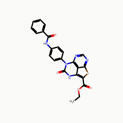 CCOC(=O)c1sc2ncnc3c2c1NC(=O)N3c1ccc(NC(=O)c2ccccc2)cc1